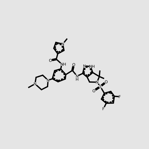 CN1CCN(c2ccc(C(=O)Nc3n[nH]c4c3CN(S(=O)(=O)c3cc(F)cc(F)c3)C4(C)C)c(NC(=O)c3ccn(C)c3)c2)CC1